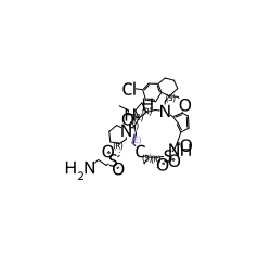 CCO[C@]1(N2CCC[C@@H](CS(=O)(=O)CCN)C2)/C=C/C[C@H](C)[C@@H](C)S(=O)(=O)NC(=O)c2ccc3c(c2)N(C[C@@H]2CC[C@H]21)C[C@@]1(CCCc2cc(Cl)ccc21)CO3